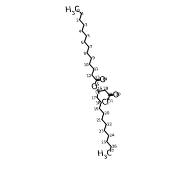 CCCCCCCCCCCCCC(=O)O[C@H](CCCCCCCCCCC)CC(=O)Cl